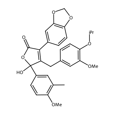 COc1ccc(C2(O)OC(=O)C(c3ccc4c(c3)OCO4)=C2Cc2ccc(OC(C)C)c(OC)c2)cc1C